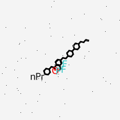 C=CCCC1CCC(C2CCC(CCc3ccc(C(=O)CC4CCC(CCC)CC4)c(C(F)F)c3F)CC2)CC1